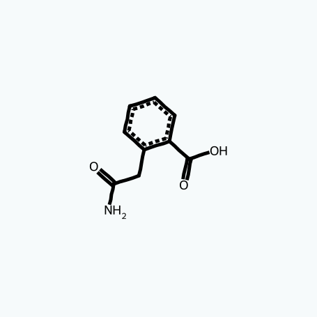 NC(=O)Cc1ccccc1C(=O)O